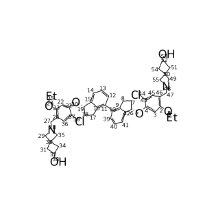 CCOc1cc(O[C@H]2CCc3c(-c4cccc5c4CC[C@@H]5Oc4cc(OCC)c(CN5CC6(CC(O)C6)C5)cc4Cl)cccc32)c(Cl)cc1CN1CC2(CC(O)C2)C1